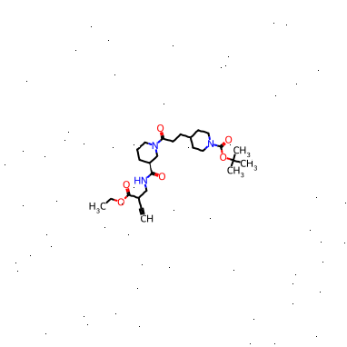 C#CC(CNC(=O)[C@H]1CCCN(C(=O)CCC2CCN(C(=O)OC(C)(C)C)CC2)C1)C(=O)OCC